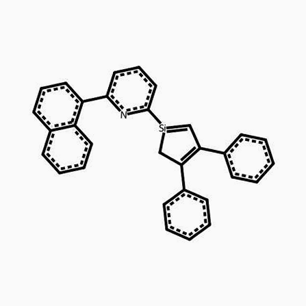 C1=[Si](c2cccc(-c3cccc4ccccc34)n2)CC(c2ccccc2)=C1c1ccccc1